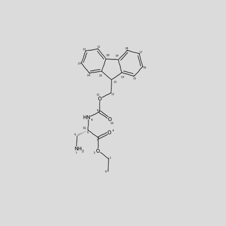 CCOC(=O)[C@H](CN)NC(=O)OCC1c2ccccc2-c2ccccc21